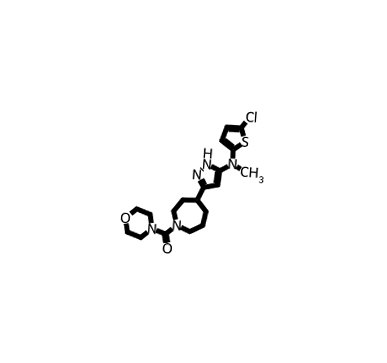 CN(c1cc(C2CCCN(C(=O)N3CCOCC3)CC2)n[nH]1)c1ccc(Cl)s1